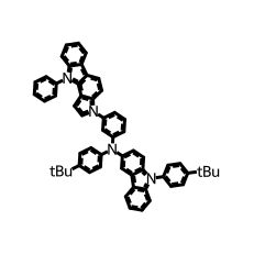 CC(C)(C)c1ccc(N(c2cccc(-n3ccc4c3ccc3c5ccccc5n(-c5ccccc5)c34)c2)c2ccc3c(c2)c2ccccc2n3-c2ccc(C(C)(C)C)cc2)cc1